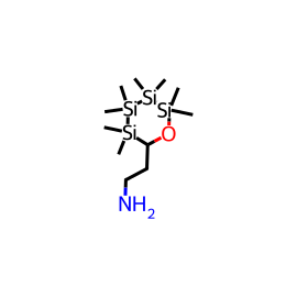 C[Si]1(C)OC(CCN)[Si](C)(C)[Si](C)(C)[Si]1(C)C